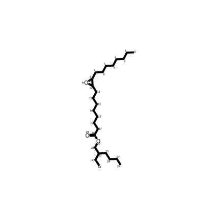 CCCCCCCCC1OC1CCCCCCCC(=O)OCC(CC)CCCC